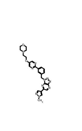 Cn1cc(-c2cnc3nnn(Cc4cccc(-c5ncc(OCCN6CCOCC6)cn5)c4)c3n2)cn1